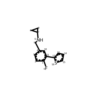 Fc1ccc(CNC2CC2)cc1-c1cccs1